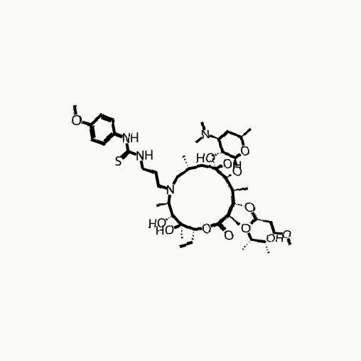 CC[C@H]1OC(=O)[C@H](C)[C@@H](O[C@@H](CCOC)O[C@@H](C)[C@@H](C)O)[C@H](C)[C@@H](O[C@@H]2O[C@H](C)C[C@H](N(C)C)[C@H]2O)[C@](C)(O)C[C@@H](C)CN(CCCNC(=S)Nc2ccc(OC)cc2)[C@H](C)[C@@H](O)[C@]1(C)O